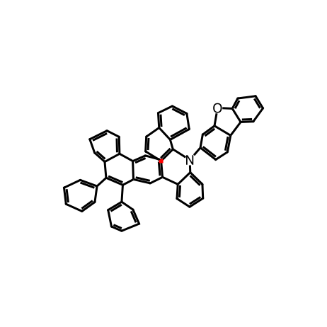 c1ccc(-c2c(-c3ccccc3)c3cc(-c4ccccc4N(c4ccc5c(c4)oc4ccccc45)c4cccc5ccccc45)ccc3c3ccccc23)cc1